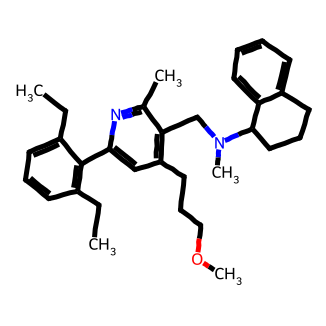 CCc1cccc(CC)c1-c1cc(CCCOC)c(CN(C)C2CCCc3ccccc32)c(C)n1